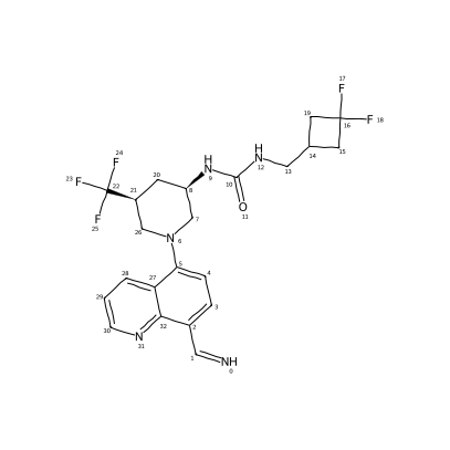 N=Cc1ccc(N2C[C@H](NC(=O)NCC3CC(F)(F)C3)C[C@H](C(F)(F)F)C2)c2cccnc12